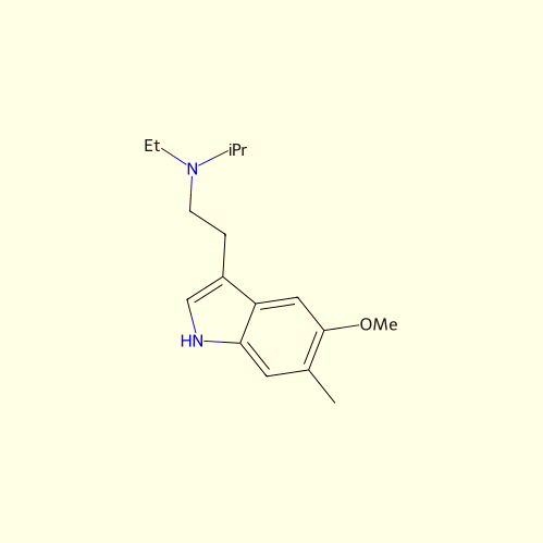 CCN(CCc1c[nH]c2cc(C)c(OC)cc12)C(C)C